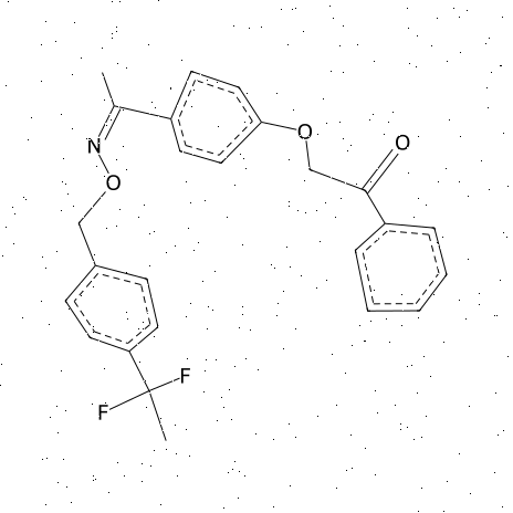 CC(=NOCc1ccc(C(C)(F)F)cc1)c1ccc(OCC(=O)c2ccccc2)cc1